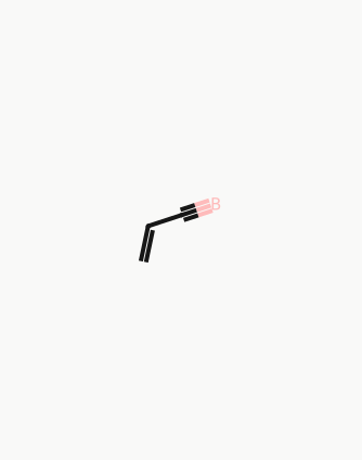 B#CC=C